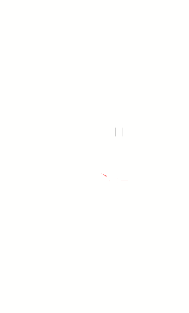 C[C@H]1CCC[C@@H]1O